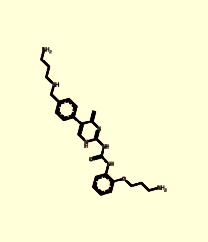 C=C1N=C(NC(=O)Nc2ccccc2OCCCN)NC=C1c1ccc(CNCCCN)cc1